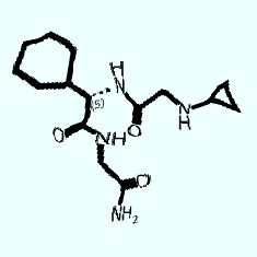 NC(=O)CNC(=O)[C@@H](NC(=O)CNC1CC1)C1CCCCC1